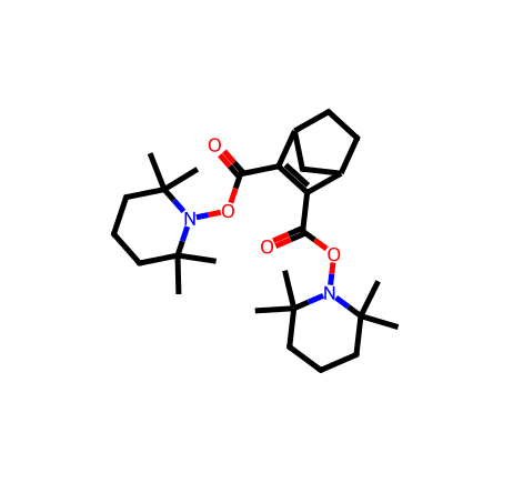 CC1(C)CCCC(C)(C)N1OC(=O)C1=C(C(=O)ON2C(C)(C)CCCC2(C)C)C2CCC1C2